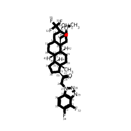 COCC[C@]12CC[C@](O)(C(F)(F)F)CC1CC[C@@H]1[C@@H]2CC[C@]2(C)[C@@H](C(=O)Cn3nnc4c(F)c(F)ccc43)CC[C@@H]12